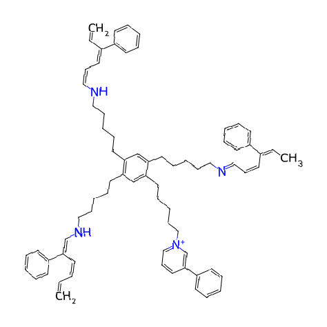 C=C/C=C\C(=C/NCCCCCc1cc(CCCCC[n+]2cccc(-c3ccccc3)c2)c(CCCCC/N=C/C=C\C(=C/C)c2ccccc2)cc1CCCCCN/C=C\C=C(/C=C)c1ccccc1)c1ccccc1